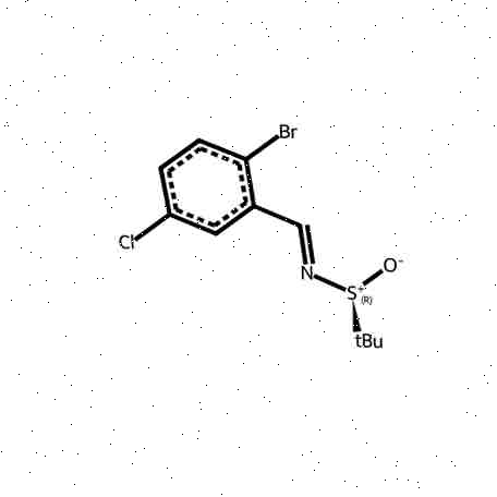 CC(C)(C)[S@+]([O-])N=Cc1cc(Cl)ccc1Br